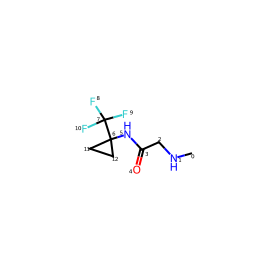 CNCC(=O)NC1(C(F)(F)F)CC1